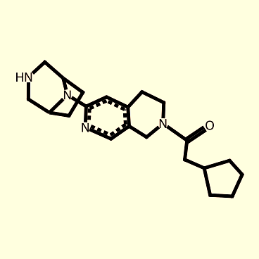 O=C(CC1CCCC1)N1CCc2cc(N3C4CCC3CNC4)ncc2C1